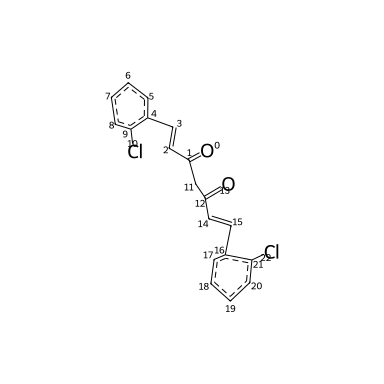 O=C(C=Cc1ccccc1Cl)CC(=O)C=Cc1ccccc1Cl